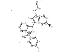 Cc1c(Cc2cccnc2S(=O)(=O)c2ccc(F)cc2)c2cc(F)ccc2n1CC=O